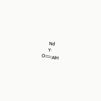 [Nd].[O]=[AlH].[Y]